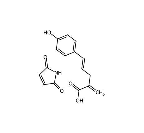 C=C(CC=Cc1ccc(O)cc1)C(=O)O.O=C1C=CC(=O)N1